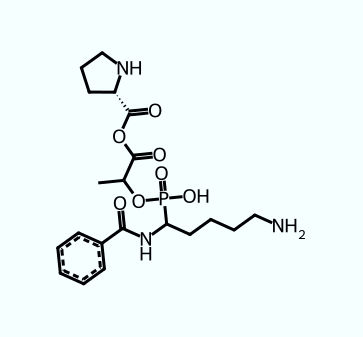 CC(OP(=O)(O)C(CCCCN)NC(=O)c1ccccc1)C(=O)OC(=O)[C@@H]1CCCN1